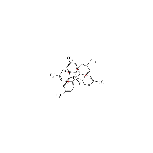 FC(F)(F)c1ccc([Te](Br)(c2ccc(C(F)(F)F)cc2)(c2ccc(C(F)(F)F)cc2)(c2ccc(C(F)(F)F)cc2)c2ccc(C(F)(F)F)cc2)cc1